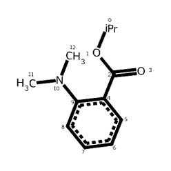 CC(C)OC(=O)c1ccccc1N(C)C